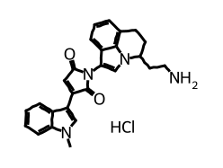 Cl.Cn1cc(C2=CC(=O)N(c3cn4c5c(cccc35)CCC4CCN)C2=O)c2ccccc21